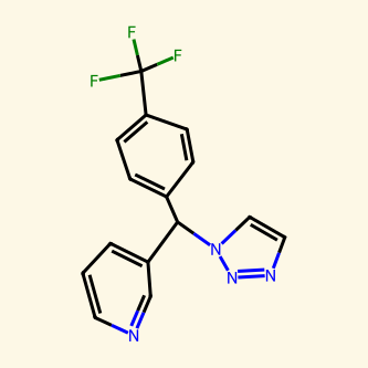 FC(F)(F)c1ccc(C(c2cccnc2)n2ccnn2)cc1